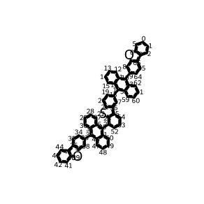 c1ccc2c(c1)oc1cc(-c3c4ccccc4c(-c4ccc5sc6c(-c7c8ccccc8c(-c8ccc9c(c8)oc8ccccc89)c8ccccc78)cccc6c5c4)c4ccccc34)ccc12